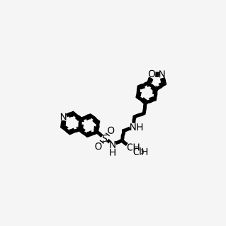 CC(CNCCc1ccc2oncc2c1)NS(=O)(=O)c1ccc2cnccc2c1.Cl